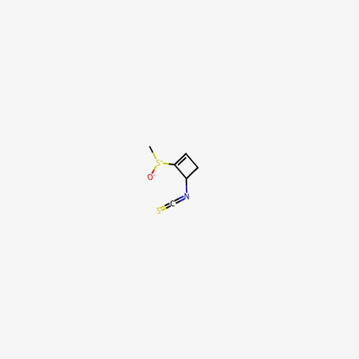 C[S+]([O-])C1=CCC1N=C=S